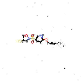 CC#CCOc1ccc(S(=O)(=O)N2CC(S)CO2)cn1